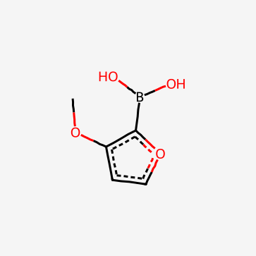 COc1ccoc1B(O)O